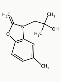 C=C1Oc2ccc(C)cc2N1CC(C)(C)O